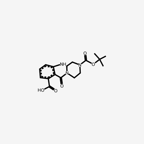 CC(C)(C)OC(=O)N1CCN(C(=O)c2c(N)cccc2C(=O)O)CC1